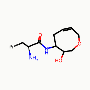 CC(C)C[C@H](N)C(=O)NC1CC=CCOCC1O